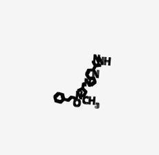 C[C@@H]1CC(Cn2ccc3nc(-c4cn[nH]c4)ccc32)CN1C(=O)CCc1ccccc1